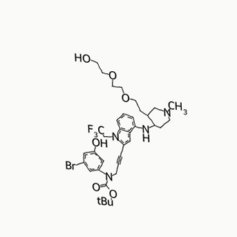 CN1CCC(Nc2cccc3c2cc(C#CCN(C(=O)OC(C)(C)C)c2cc(O)cc(Br)c2)n3CC(F)(F)F)C(CCOCCOCCO)C1